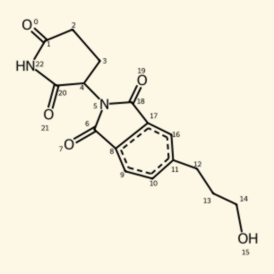 O=C1CCC(N2C(=O)c3ccc(CCCO)cc3C2=O)C(=O)N1